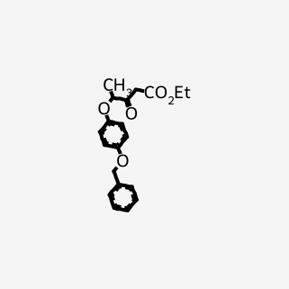 CCOC(=O)CC(=O)C(C)Oc1ccc(OCc2ccccc2)cc1